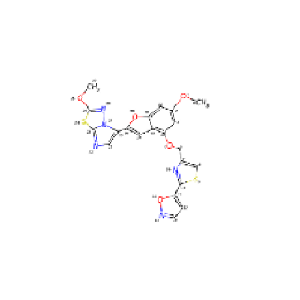 COc1cc(OCc2csc(-c3ccno3)n2)c2cc(-c3cnc4sc(OC)nn34)oc2c1